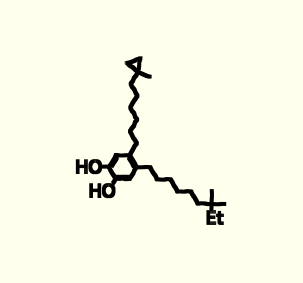 CCC(C)(C)CCCCCCc1cc(O)c(O)cc1CCCCCCC1(C)CC1